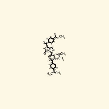 COC(=O)c1ccc(C(=O)N2CC(=O)C3C2CCN3C(=O)[C@H](CC(C)C)NC(=O)c2ccc(N(C)C)cc2)cc1